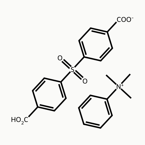 C[N+](C)(C)c1ccccc1.O=C([O-])c1ccc(S(=O)(=O)c2ccc(C(=O)O)cc2)cc1